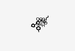 CCCCS(=O)(=O)NC(=O)c1nn(-c2ccc(C)cc2)c(-c2ccccc2)cc1=O